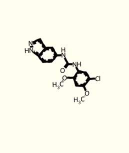 COc1cc(OC)c(NC(=O)Nc2ccc3[nH]ncc3c2)cc1Cl